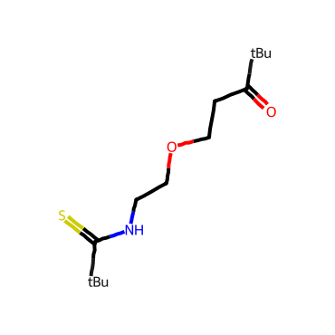 CC(C)(C)C(=O)CCOCCNC(=S)C(C)(C)C